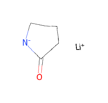 O=C1CCC[N-]1.[Li+]